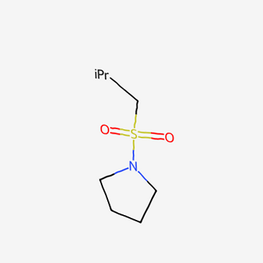 CC(C)CS(=O)(=O)N1CCCC1